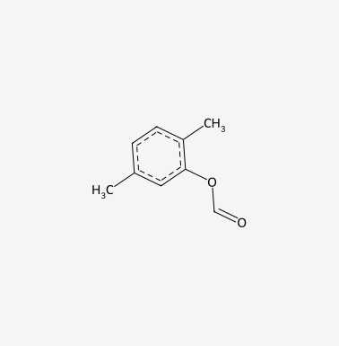 Cc1ccc(C)c(OC=O)c1